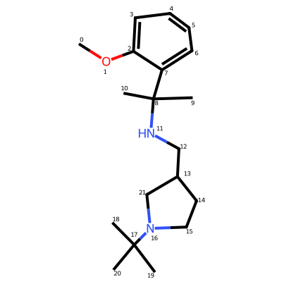 COc1ccccc1C(C)(C)NCC1CCN(C(C)(C)C)C1